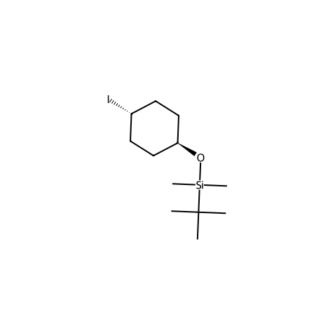 CC(C)(C)[Si](C)(C)O[C@H]1CC[C@H](I)CC1